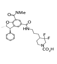 CNC(=O)c1cc(C(=O)NCCCC2CCN(C(=O)O)CC2(F)F)cc2c1O[C@@H](C)[C@@H]2c1ccccc1